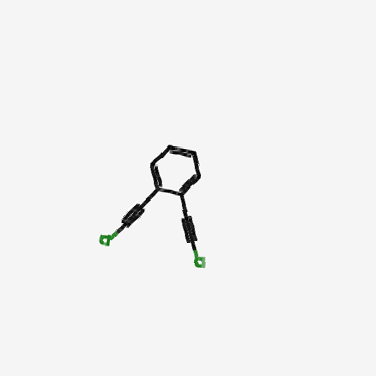 ClC#Cc1ccccc1C#CCl